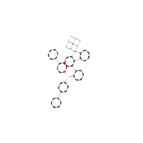 c1ccc(-c2ccc(N(c3ccc(-c4ccccc4)cc3)c3ccccc3-c3cccc4c3-c3ccccc3C43C4CC5CC6CC3C564)cc2)cc1